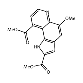 COC(=O)c1cc2cc(OC)c3nccc(C(=O)OC)c3c2[nH]1